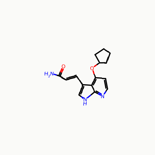 NC(=O)/C=C/c1c[nH]c2nccc(OC3CCCC3)c12